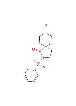 CC(C)C1CCC2(CC1)CCN(C(C)(C)c1ccccc1)C2=O